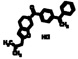 C=C(c1ccccc1)c1ccc(C(=O)N2CCc3cc(CN(C)C)oc3C2)cc1.Cl